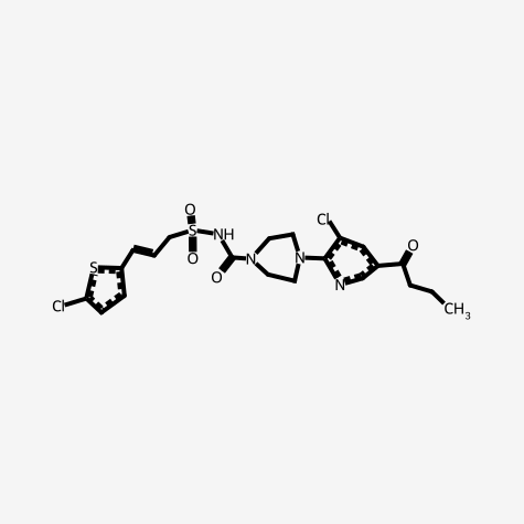 CCCC(=O)c1cnc(N2CCN(C(=O)NS(=O)(=O)CC=Cc3ccc(Cl)s3)CC2)c(Cl)c1